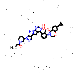 C=CC(=O)N1CCCC(n2cc(-c3cc4c(-c5cccc(N6CCOc7cc(C8CC8)ccc7C6=O)c5CO)ncnc4[nH]3)cn2)C1